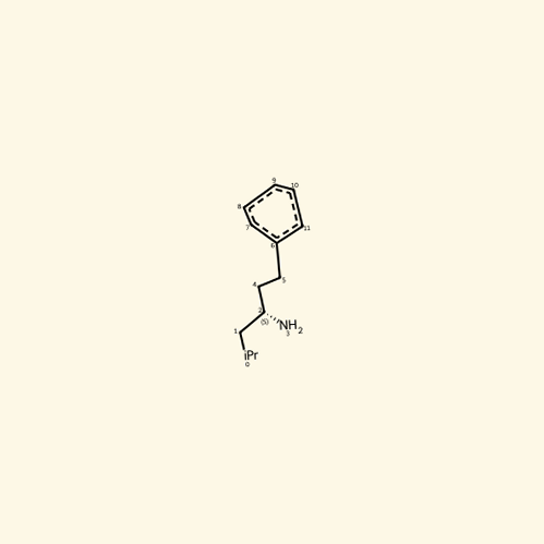 CC(C)C[C@@H](N)CCc1ccccc1